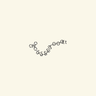 CCOCCOCCOCCc1ccc(-c2ccc(-c3ccc(-c4ccc(-c5ccc(-c6ccc(N(c7ccccc7)c7ccccc7)cc6)s5)s4)s3)s2)s1